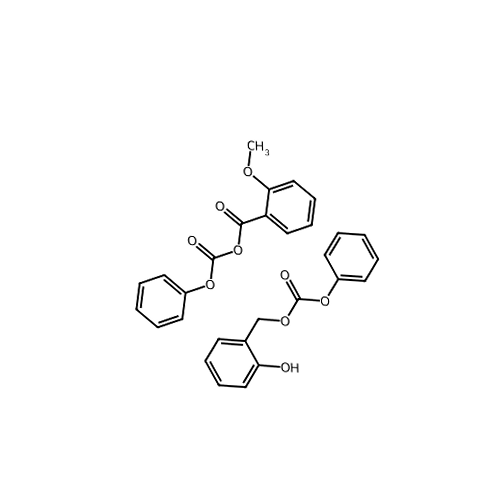 COc1ccccc1C(=O)OC(=O)Oc1ccccc1.O=C(OCc1ccccc1O)Oc1ccccc1